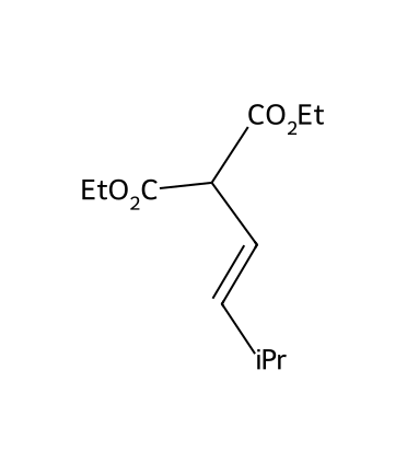 CCOC(=O)C(/C=C/C(C)C)C(=O)OCC